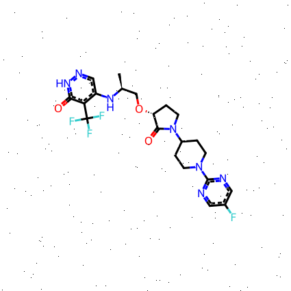 C[C@@H](CO[C@@H]1CCN(C2CCN(c3ncc(F)cn3)CC2)C1=O)Nc1cn[nH]c(=O)c1C(F)(F)F